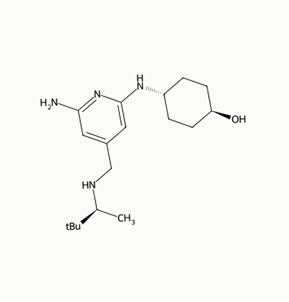 C[C@H](NCc1cc(N)nc(N[C@H]2CC[C@H](O)CC2)c1)C(C)(C)C